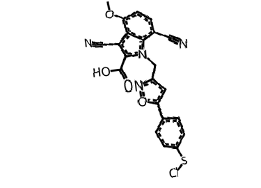 COc1ccc(C#N)c2c1c(C#N)c(C(=O)O)n2Cc1cc(-c2ccc(SCl)cc2)on1